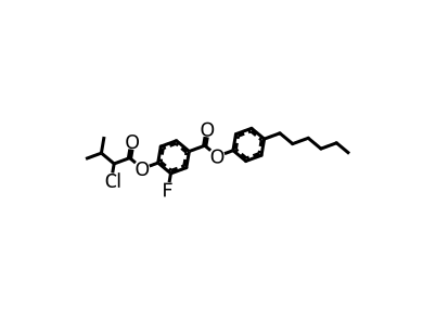 CCCCCCc1ccc(OC(=O)c2ccc(OC(=O)C(Cl)C(C)C)c(F)c2)cc1